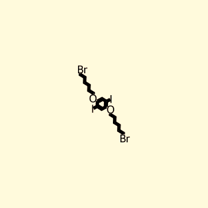 BrCCCCCCOc1cc(I)c(OCCCCCCBr)cc1I